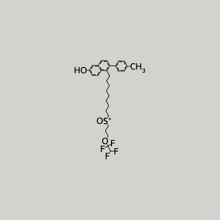 Cc1ccc(-c2ccc3cc(O)ccc3c2CCCCCCCCC[S+]([O-])CCCOC(F)(F)C(F)F)cc1